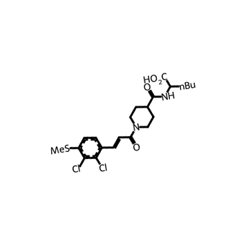 CCCCC(NC(=O)C1CCN(C(=O)C=Cc2ccc(SC)c(Cl)c2Cl)CC1)C(=O)O